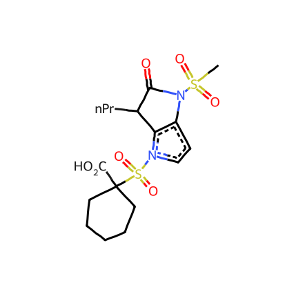 CCCC1C(=O)N(S(C)(=O)=O)c2ccn(S(=O)(=O)C3(C(=O)O)CCCCC3)c21